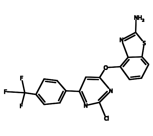 Nc1nc2c(Oc3cc(-c4ccc(C(F)(F)F)cc4)nc(Cl)n3)cccc2s1